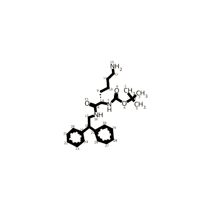 CC(C)(C)OC(=O)N[C@@H](CCCCN)C(=O)NCC(c1ccccc1)c1ccccc1